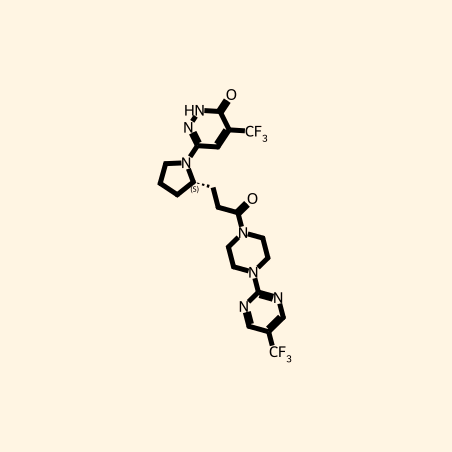 O=C(CC[C@@H]1CCCN1c1cc(C(F)(F)F)c(=O)[nH]n1)N1CCN(c2ncc(C(F)(F)F)cn2)CC1